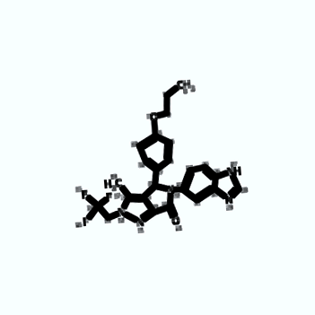 CCCOc1ccc(C2c3c(nn(CC(F)(F)F)c3C)C(=O)N2c2ccc3[nH]cnc3c2)cc1